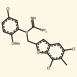 COc1ccc(Cl)cc1N(Cc1cc2cc(Cl)c(C)c(Cl)c2o1)C(=N)N